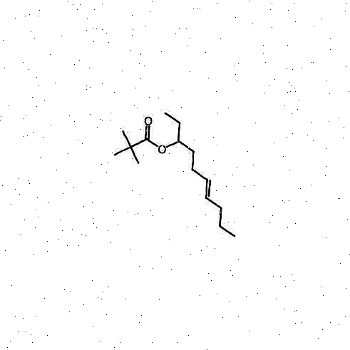 CCC/C=C/CCC(CC)OC(=O)C(C)(C)C